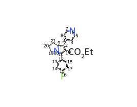 CCOC(=O)c1c(-c2ccncc2)c2n(c1-c1ccc(F)cc1)CCC2